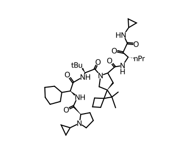 CCC[C@H](NC(=O)C1C[C@@]2(CN1C(=O)[C@@H](NC(=O)[C@@H](NC(=O)[C@H]1CCCN1C1CC1)C1CCCCC1)C(C)(C)C)C(C)(C)C21CCC1)C(=O)C(=O)NC1CC1